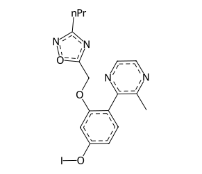 CCCc1noc(COc2cc(OI)ccc2-c2nccnc2C)n1